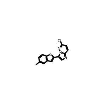 Cc1ccc2sc(-c3cnc4ccc(Cl)nn34)cc2c1